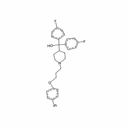 CC(C)c1ccc(OCCCN2CCC(C(O)(c3ccc(F)cc3)c3ccc(F)cc3)CC2)cc1